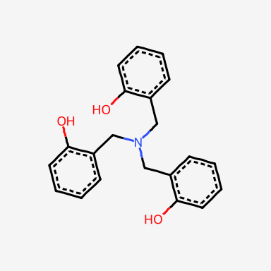 Oc1ccccc1CN(Cc1ccccc1O)Cc1ccccc1O